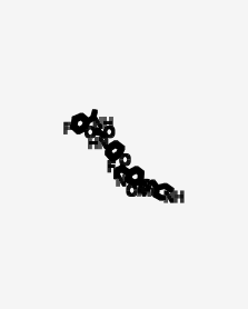 COc1c(OCC2CCNCC2)ccc2c(Oc3ccc(NC(=O)C(=O)NC(C)c4ccc(F)cc4)cc3F)ccnc12